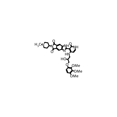 COc1ccc(OCC(O)CNc2cc[nH]c(=O)c2-c2nc3cc4c(cc3[nH]2)C(=O)N(C2CCN(C)CC2)C4=O)c(OC)c1OC